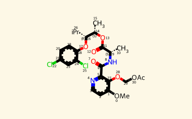 COc1ccnc(C(=O)N[C@@H](C)C(=O)O[C@@H](C)[C@H](Oc2ccc(Cl)cc2Cl)C(C)C)c1OCOC(C)=O